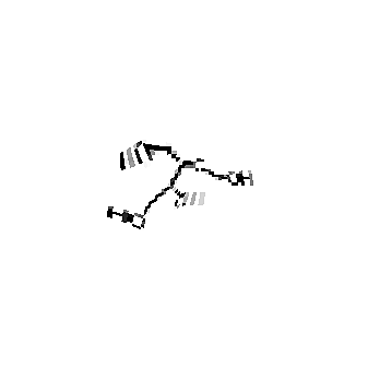 OCO[C@H](CO)[C@H](O)CO